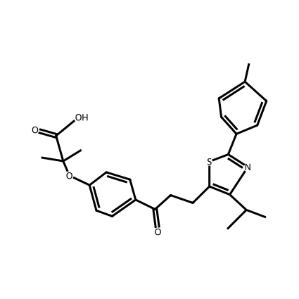 Cc1ccc(-c2nc(C(C)C)c(CCC(=O)c3ccc(OC(C)(C)C(=O)O)cc3)s2)cc1